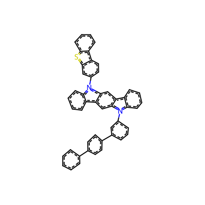 c1ccc(-c2ccc(-c3cccc(-n4c5ccccc5c5cc6c(cc54)c4ccccc4n6-c4ccc5c(c4)sc4ccccc45)c3)cc2)cc1